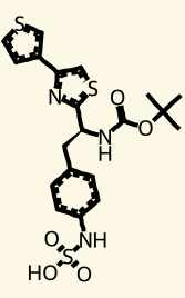 CC(C)(C)OC(=O)N[C@@H](Cc1ccc(NS(=O)(=O)O)cc1)c1nc(-c2ccsc2)cs1